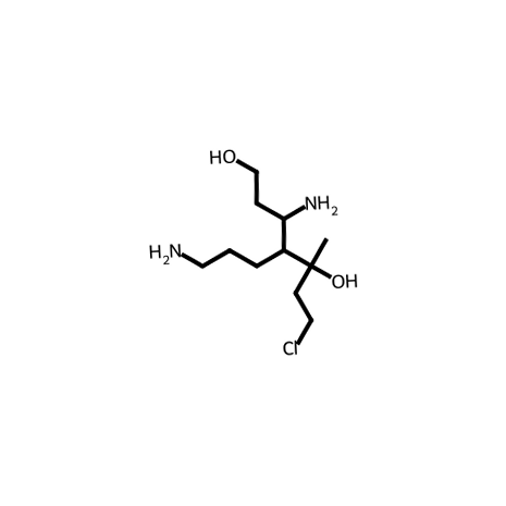 CC(O)(CCCl)C(CCCN)C(N)CCO